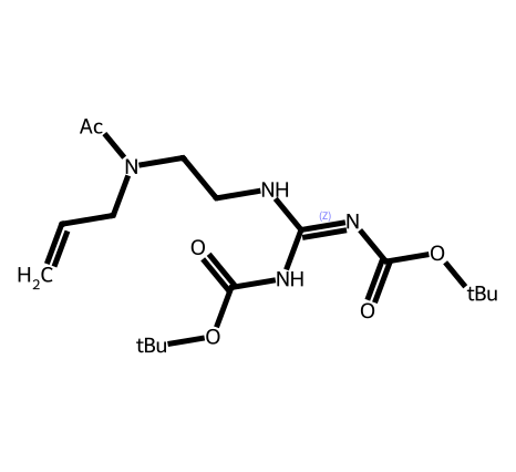 C=CCN(CCN/C(=N/C(=O)OC(C)(C)C)NC(=O)OC(C)(C)C)C(C)=O